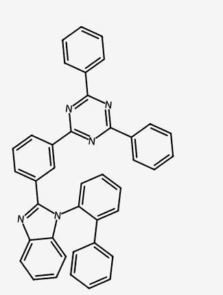 c1ccc(-c2nc(-c3ccccc3)nc(-c3cccc(-c4nc5ccccc5n4-c4ccccc4-c4ccccc4)c3)n2)cc1